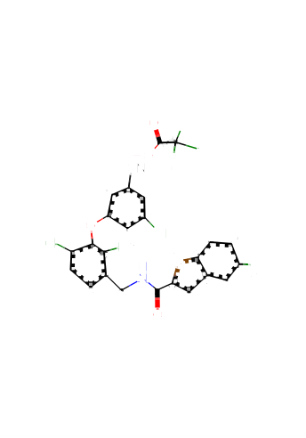 N#Cc1cc(Cl)cc(Oc2c(Cl)ccc(CNC(=O)c3cc4cc(Cl)ccc4s3)c2F)c1.O=C(O)C(F)(F)F